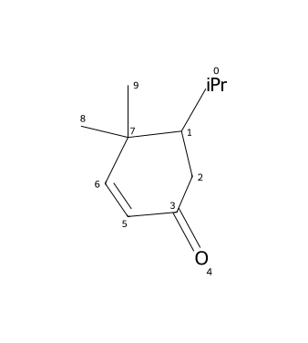 CC(C)C1CC(=O)C=CC1(C)C